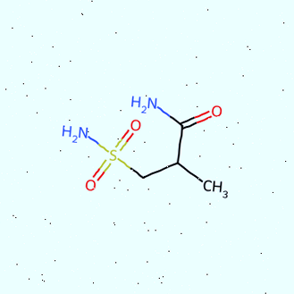 CC(CS(N)(=O)=O)C(N)=O